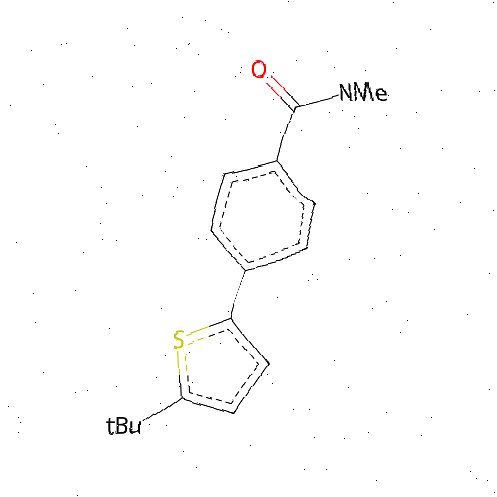 CNC(=O)c1ccc(-c2ccc(C(C)(C)C)s2)cc1